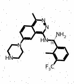 Cc1c([C@@H](N)Nc2nnc(C)c3ccc(N4CCNCC4)cc23)cccc1C(F)(F)F